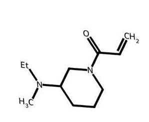 C=CC(=O)N1CCCC(N(C)CC)C1